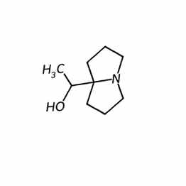 CC(O)C12CCCN1CCC2